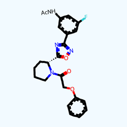 CC(=O)Nc1cc(F)cc(-c2noc([C@H]3CCCCN3C(=O)COc3ccccc3)n2)c1